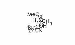 COc1ccc(CC(C)(C)NCC(O)COc2ccc(C(=O)N3CCCC3)cc2C#N)cc1